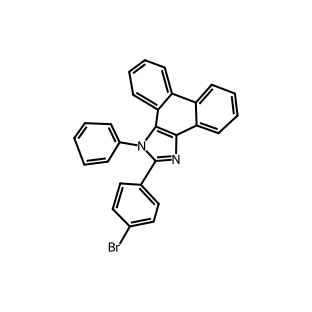 Brc1ccc(-c2nc3c4ccccc4c4ccccc4c3n2-c2ccccc2)cc1